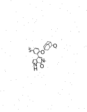 COC1C2CC3CC1CC(Oc1ccc(SC)cc1-c1cn(C)c(=O)c4[nH]ccc14)(C3)C2